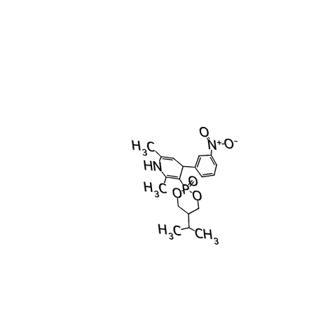 CC1=CC(c2cccc([N+](=O)[O-])c2)C(P2(=O)OCC(C(C)C)CO2)=C(C)N1